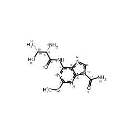 CSc1nc(NC(=O)[C@@H](N)[C@@H](C)O)c2ncn(C(N)=O)c2n1